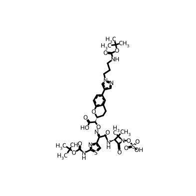 CC(C)(C)OC(=O)NCCCn1cc(-c2ccc3c(c2)CC[C@H](C(O/N=C(\C(=O)N[C@@H]2C(=O)N(OS(=O)(=O)O)C2(C)C)c2csc(NC(=O)OC(C)(C)C)n2)C(=O)O)O3)cn1